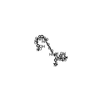 Cc1ncsc1-c1ccc([C@H](CC(=O)NCCOCCOCCOCCNC(=O)COc2ccc3c(c2)[C@H](NC(=O)c2cc(-c4ccc(C(=O)N(C)C)c(O)c4)on2)CC3)NC(=O)[C@@H]2C[C@@H](O)CN2C(=O)[C@@H](NC(=O)C2(F)CC2)C(C)(C)C)cc1